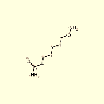 NOCCCCCCC(N)=O